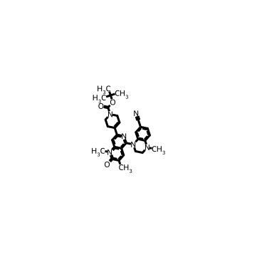 Cc1cc2c(N3CCN(C)c4ccc(C#N)cc43)nc(C3=CCN(C(=O)OC(C)(C)C)CC3)cc2n(C)c1=O